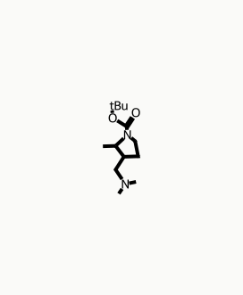 CC1C(CN(C)C)CCN1C(=O)OC(C)(C)C